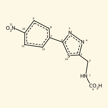 O=C(O)NCc1nnc(-c2ccc([N+](=O)[O-])cc2)s1